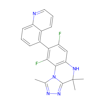 Cc1nnc2n1-c1c(cc(F)c(-c3cccc4ncccc34)c1F)NC2(C)C